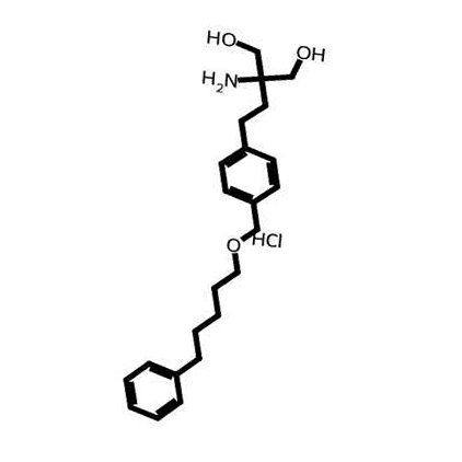 Cl.NC(CO)(CO)CCc1ccc(COCCCCCc2ccccc2)cc1